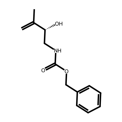 C=C(C)[C@H](O)CNC(=O)OCc1ccccc1